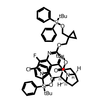 CC(C)(C)OC(=O)N1[C@@H]2CC[C@H]1[C@@H](CO[Si](c1ccccc1)(c1ccccc1)C(C)(C)C)N(c1nc(OCC3(CO[Si](c4ccccc4)(c4ccccc4)C(C)(C)C)CC3)nc3c(F)c(Cl)nc(Cl)c13)C2